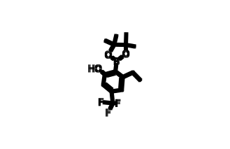 CCc1cc(C(F)(F)F)cc(O)c1B1OC(C)(C)C(C)(C)O1